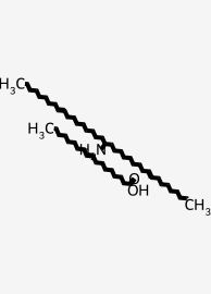 CCCCCCCCC=CCCCCCCCC(=O)O.CCCCCCCCC=CCCCCCCCCC(N)CCCCCCCCC=CCCCCCCCC